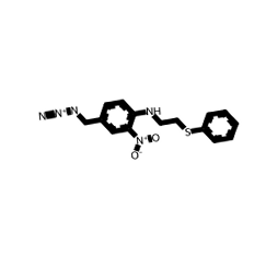 [N-]=[N+]=NCc1ccc(NCCSc2ccccc2)c([N+](=O)[O-])c1